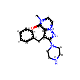 Cn1ccn2nc(N3CCNCC3)c(Cc3ccccc3)c2c1=O